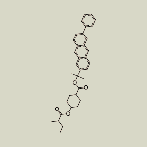 CCC(C)C(=O)OC1CCC(C(=O)OC(C)(C)c2ccc3cc4cc(-c5ccccc5)ccc4cc3c2)CC1